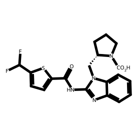 O=C(Nc1nc2ccccc2n1C[C@@H]1CCCN1C(=O)O)c1ccc(C(F)F)s1